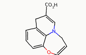 O=C(O)C1=CN2CC=COc3cccc(c32)C1